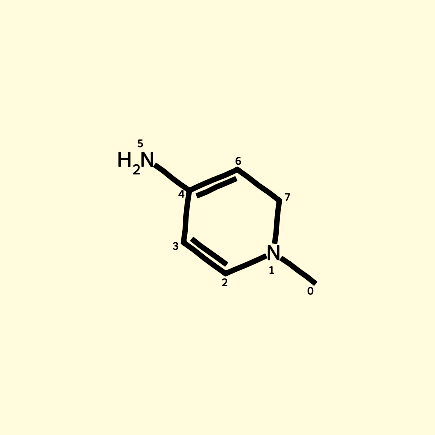 CN1C=CC(N)=CC1